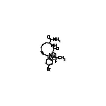 CC(C)(F)CC1C(=O)NC(C(N)=O)CCCC#CC[N+]1(c1ccc(Br)cc1)C(F)(F)F